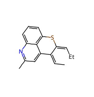 C/C=C1\C(=C/CC)Sc2cccc3nc(C)cc1c23